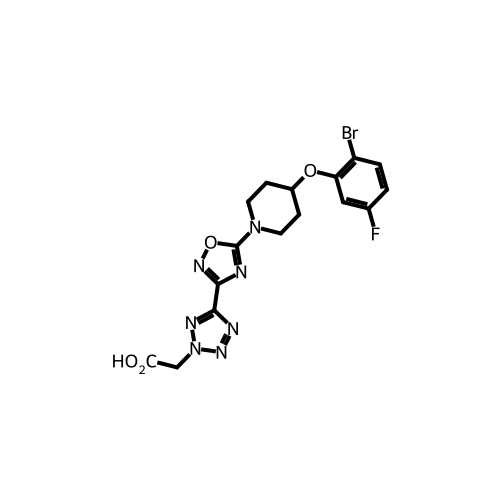 O=C(O)Cn1nnc(-c2noc(N3CCC(Oc4cc(F)ccc4Br)CC3)n2)n1